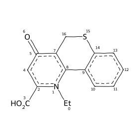 CCn1c(C(=O)O)cc(=O)c2c1-c1ccccc1SC2